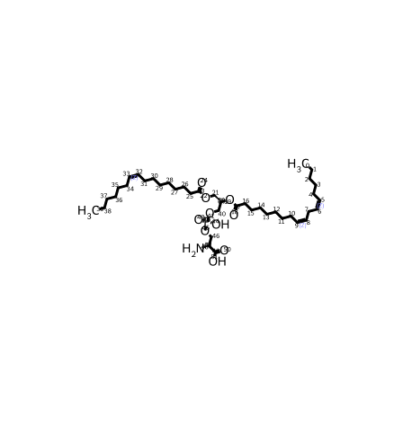 CCCCC/C=C\C/C=C\CCCCCCCC(=O)O[C@H](COC(=O)CCCCCCC/C=C\CCCCCC)COP(=O)(O)OC[C@H](N)C(=O)O